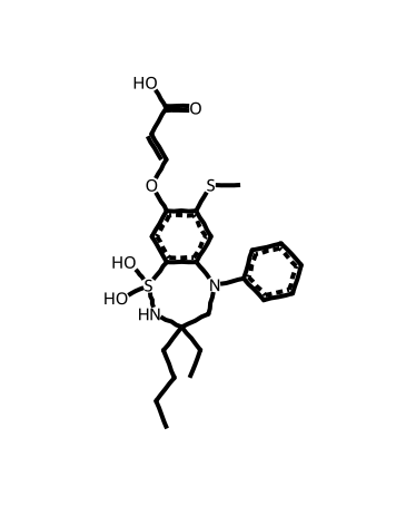 CCCCC1(CC)CN(c2ccccc2)c2cc(SC)c(O/C=C/C(=O)O)cc2S(O)(O)N1